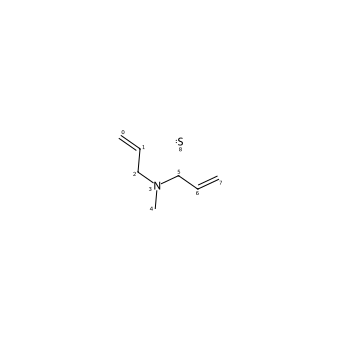 C=CCN(C)CC=C.[S]